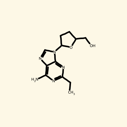 CCc1nc(N)c2ncn(C3CCC(CO)O3)c2n1